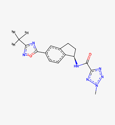 [2H]C([2H])([2H])c1noc(-c2ccc3c(c2)CC[C@H]3NC(=O)c2nnn(C)n2)n1